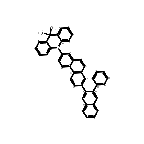 CC1(C)c2ccccc2N(c2ccc3c(ccc4cc(-c5cc6ccccc6cc5-c5ccccc5)ccc43)c2)c2ccccc21